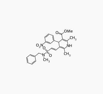 COC(=O)C1=C(C)NC(C)=C(C=CS(=O)(=O)N(C)Cc2ccccc2)C1c1cccc([N+](=O)[O-])c1